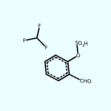 FC(F)F.O=Cc1ccccc1OS(=O)(=O)O